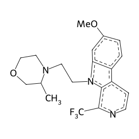 COc1ccc2c3ccnc(C(F)(F)F)c3n(CCN3CCOCC3C)c2c1